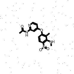 CNc1c([N+](=O)[O-])ccc(Oc2ccnc(NC(C)=O)c2)c1C